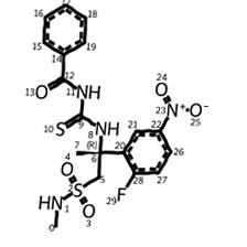 CNS(=O)(=O)C[C@](C)(NC(=S)NC(=O)c1ccccc1)c1cc([N+](=O)[O-])ccc1F